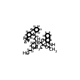 CC(=O)Nc1cc2ccccc2cc1OC(C)C(=O)O.OCCN1CCN(CCCN2c3ccccc3Sc3ccc(C(F)(F)F)cc32)CC1